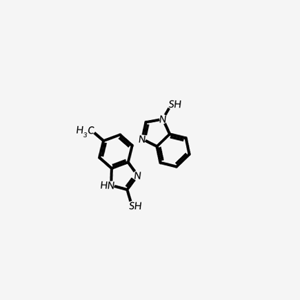 Cc1ccc2nc(S)[nH]c2c1.Sn1cnc2ccccc21